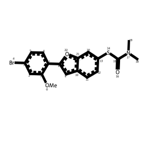 COc1cc(Br)ccc1-c1cc2ccc(SC(=O)N(C)C)cc2o1